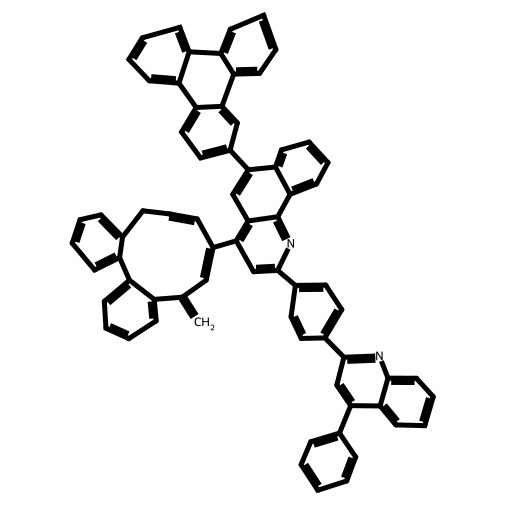 C=C1/C=C(c2cc(-c3ccc(-c4cc(-c5ccccc5)c5ccccc5n4)cc3)nc3c2cc(-c2ccc4c5ccccc5c5ccccc5c4c2)c2ccccc23)\C=C/Cc2ccccc2-c2ccccc21